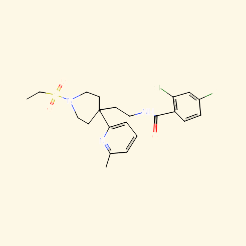 CCS(=O)(=O)N1CCC(CCNC(=O)c2ccc(Cl)cc2Cl)(c2cccc(C)n2)CC1